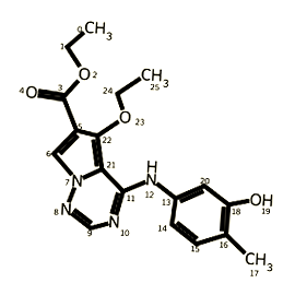 CCOC(=O)c1cn2ncnc(Nc3ccc(C)c(O)c3)c2c1OCC